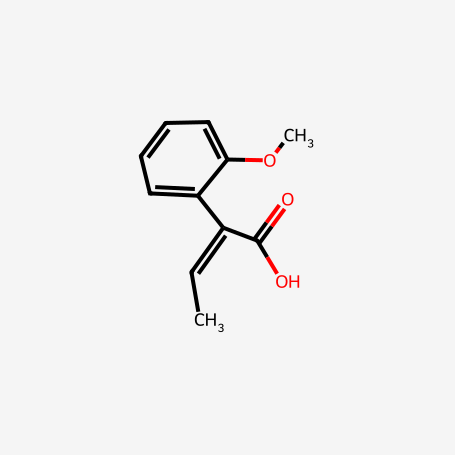 CC=C(C(=O)O)c1ccccc1OC